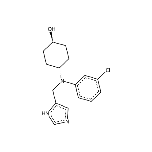 O[C@H]1CC[C@H](N(Cc2cnc[nH]2)c2cccc(Cl)c2)CC1